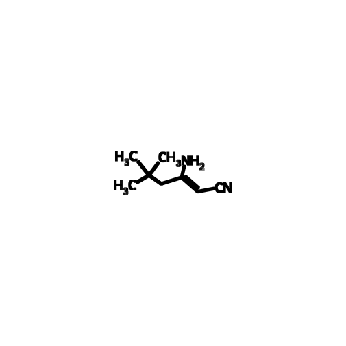 CC(C)(C)CC(N)=CC#N